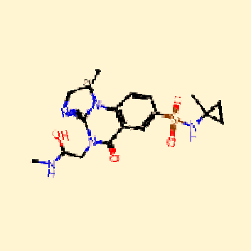 CNC(O)CN1C(=O)c2cc(S(=O)(=O)NC3(C)CC3)ccc2N2C1=NC[C@H]2C